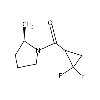 C[C@@H]1CCCN1C(=O)C1CC1(F)F